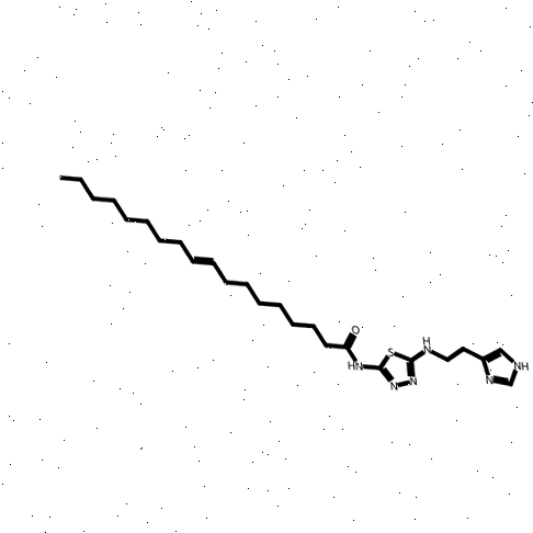 CCCCCCCCC=CCCCCCCCC(=O)Nc1nnc(NCCc2c[nH]cn2)s1